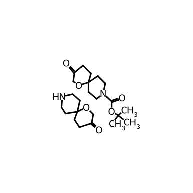 CC(C)(C)OC(=O)N1CCC2(CCC(=O)CO2)CC1.O=C1CCC2(CCNCC2)OC1